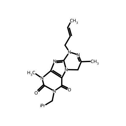 C/C=C/CN1N=C(C)Cn2c1nc1c2c(=O)n(CC(C)C)c(=O)n1C